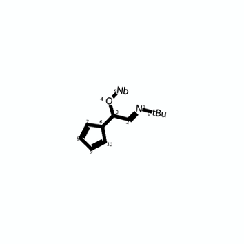 CC(C)(C)N=CC([O][Nb])C1C=CC=C1